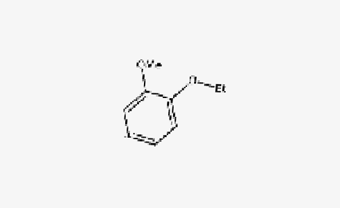 CCOc1cc[c]cc1OC